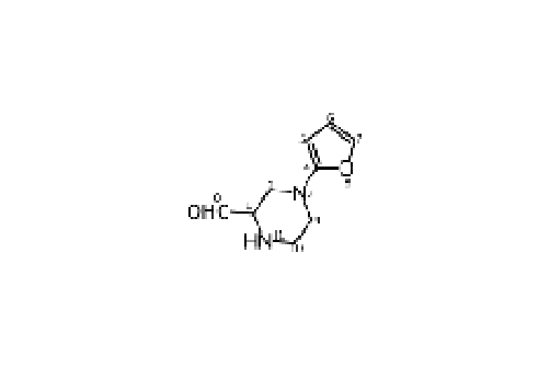 O=CC1CN(c2ccco2)CCN1